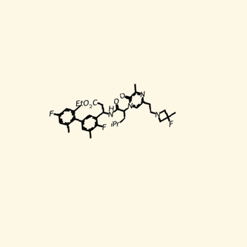 CCOC(=O)CC(NC(=O)C(CC(C)C)n1cc(CCN2CC(C)(F)C2)nc(C)c1=O)c1cc(-c2c(C)cc(F)cc2C)cc(C)c1F